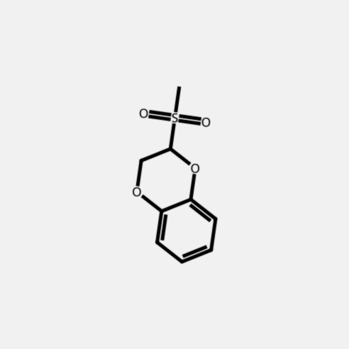 CS(=O)(=O)C1COc2ccccc2O1